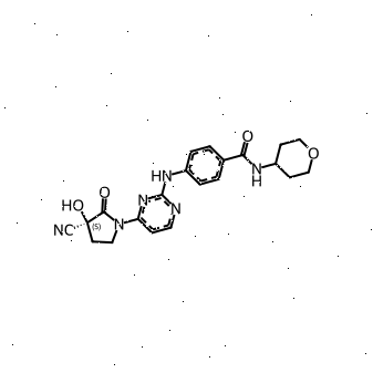 N#C[C@@]1(O)CCN(c2ccnc(Nc3ccc(C(=O)NC4CCOCC4)cc3)n2)C1=O